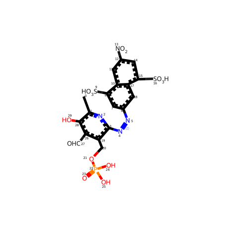 Cc1nc(/N=N\c2cc(S(=O)(=O)O)c3cc([N+](=O)[O-])cc(S(=O)(=O)O)c3c2)c(COP(=O)(O)O)c(C=O)c1O